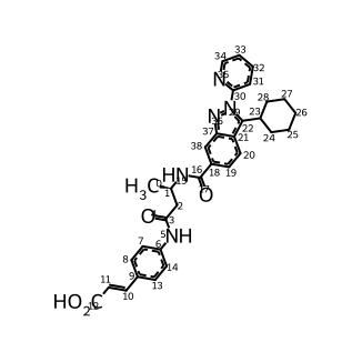 C[C@H](CC(=O)Nc1ccc(C=CC(=O)O)cc1)NC(=O)c1ccc2c(C3CCCCC3)n(-c3ccccn3)nc2c1